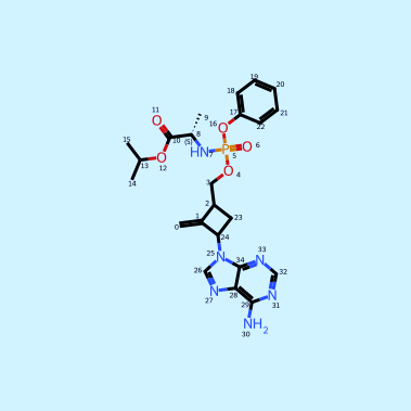 C=C1C(COP(=O)(N[C@@H](C)C(=O)OC(C)C)Oc2ccccc2)CC1n1cnc2c(N)ncnc21